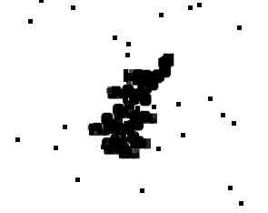 CC(C)(C)OC(=O)CN(CCN(CCN(CC(=O)OC(C)(C)C)CC(=O)OC(C)(C)C)[C@@H](CCC(=O)NCCCC[C@H](NC(=O)OC(C)(C)C)C(=O)N1CCC(C(=O)NO)(S(=O)(=O)c2ccc(Oc3cccnc3)cc2)CC1)C(=O)OC(C)(C)C)CC(=O)OC(C)(C)C